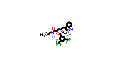 CCCNC(=O)C=CC(Cc1c[nH]c2ccccc12)N(C)C(=O)c1cc(C(F)(F)F)cc(C(F)(F)F)c1